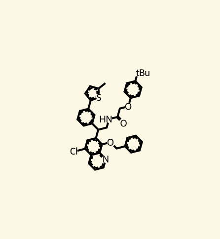 Cc1ccc(-c2cccc(C(CNC(=O)COc3ccc(C(C)(C)C)cc3)c3cc(Cl)c4cccnc4c3OCc3ccccc3)c2)s1